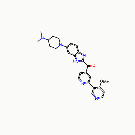 COc1ccncc1-c1cc(C(=O)c2nc3ccc(N4CCC(N(C)C)CC4)cc3[nH]2)ccn1